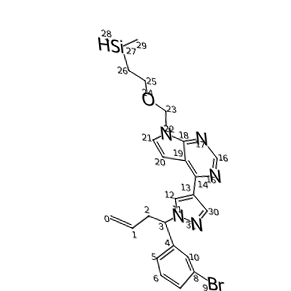 C=CCC(c1cccc(Br)c1)n1cc(-c2ncnc3c2ccn3COCC[SiH](C)C)cn1